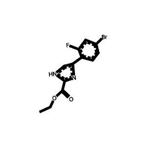 CCOC(=O)c1nc(-c2ccc(Br)cc2F)c[nH]1